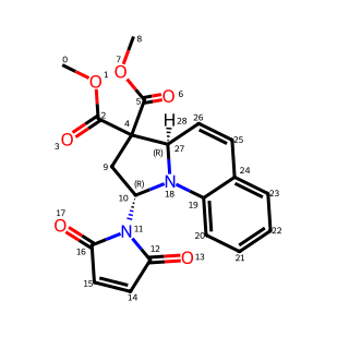 COC(=O)C1(C(=O)OC)C[C@@H](N2C(=O)C=CC2=O)N2c3ccccc3C=C[C@@H]21